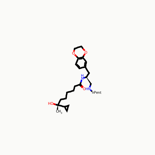 CCCCCNC[C@H](Cc1ccc2c(c1)OCCO2)NC(=O)CCCCC[C@@](C)(O)C1CC1